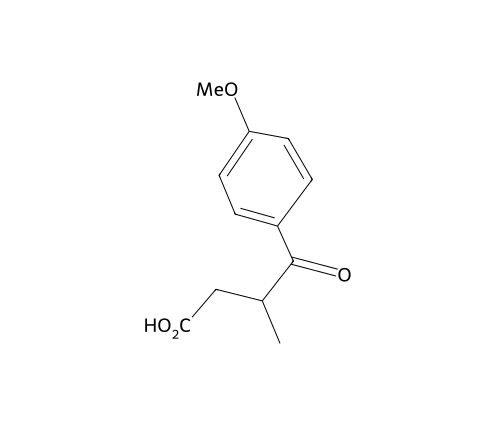 COc1ccc(C(=O)C(C)CC(=O)O)cc1